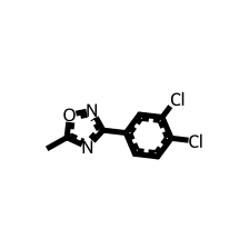 Cc1nc(-c2ccc(Cl)c(Cl)c2)no1